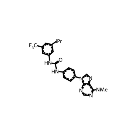 CNc1ncnc2c1ncn2-c1ccc(NC(=O)Nc2cc(C(C)C)cc(C(F)(F)F)c2)cc1